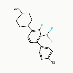 CCCC1CCC(c2ccc(-c3ccc(CC)cc3)c(C(F)F)c2F)CC1